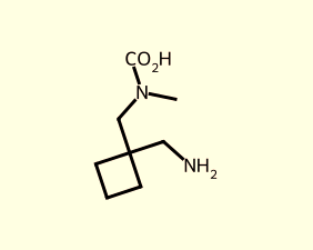 CN(CC1(CN)CCC1)C(=O)O